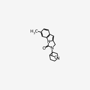 Cc1ccc2cc3n(c2c1)C(=O)N(C1CN2CCC1CC2)C3